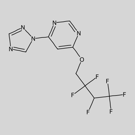 FC(C(F)(F)F)C(F)(F)COc1cc(-n2cncn2)ncn1